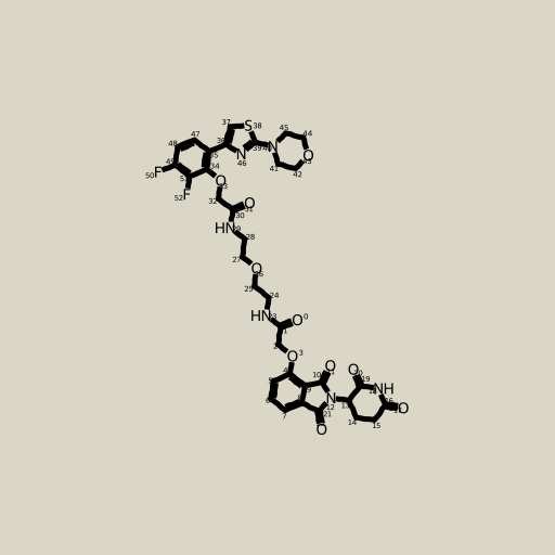 O=C(COc1cccc2c1C(=O)N(C1CCC(=O)NC1=O)C2=O)NCCOCCNC(=O)COc1c(-c2csc(N3CCOCC3)n2)ccc(F)c1F